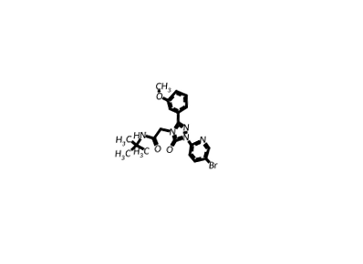 COc1cccc(-c2nn(-c3ccc(Br)cn3)c(=O)n2CC(=O)NC(C)(C)C)c1